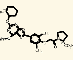 CCCOc1nc(OC2CCCC[C@H]2F)nc2oc(-c3cc(C)c(OCC(=O)N4CCC[C@H]4C(=O)O)c(C)c3)nc12